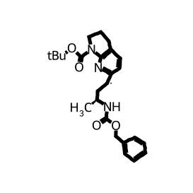 C[C@@H](C[CH]c1ccc2c(n1)N(C(=O)OC(C)(C)C)CCC2)NC(=O)OCc1ccccc1